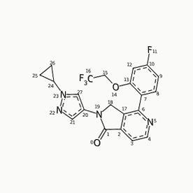 O=C1c2ccnc(-c3ccc(F)cc3OCC(F)(F)F)c2CN1c1cnn(C2CC2)c1